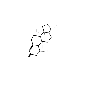 CC(=O)[C@H]1CC[C@H]2[C@@H]3CCC4=CC(=O)CC([O])[C@]4(C)[C@H]3CC[C@]12C